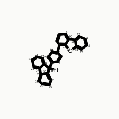 CCC1(c2ccc(-c3cccc4c3oc3ccccc34)cc2)c2ccccc2-c2ccccc21